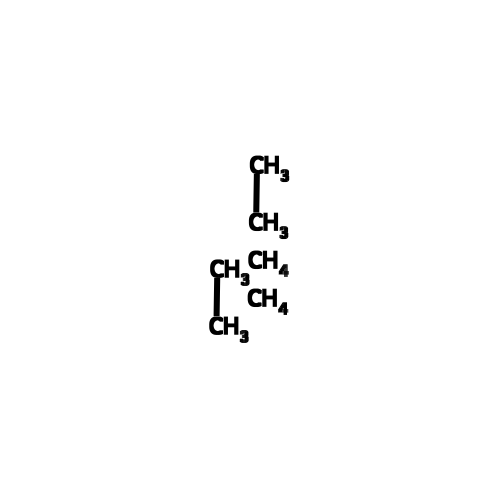 C.C.CC.CC